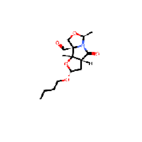 CCCCO[C@H]1C[C@H]2C(=O)N3[C@H](C)OC[C@@]3(C=O)[C@@]2(C)O1